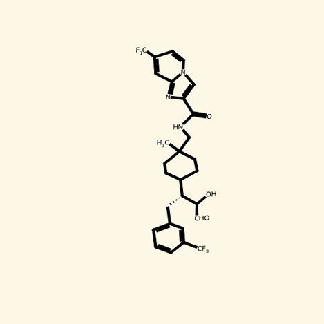 CC1(CNC(=O)c2cn3ccc(C(F)(F)F)cc3n2)CCC([C@@H](Cc2cccc(C(F)(F)F)c2)C(O)C=O)CC1